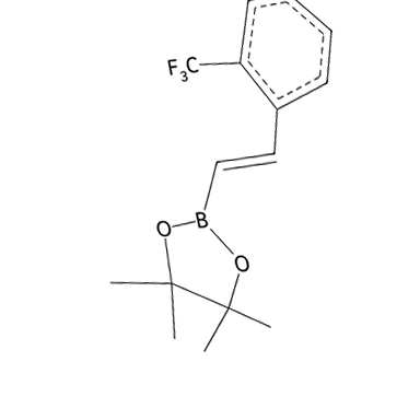 CC1(C)OB(/C=C/c2ccccc2C(F)(F)F)OC1(C)C